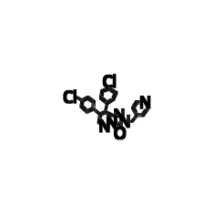 O=c1n(Cc2ccncc2)nc2c(-c3ccc(Cl)cc3)c(-c3ccc(Cl)cc3)cnn12